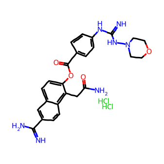 Cl.Cl.N=C(Nc1ccc(C(=O)Oc2ccc3cc(C(=N)N)ccc3c2CC(N)=O)cc1)NN1CCOCC1